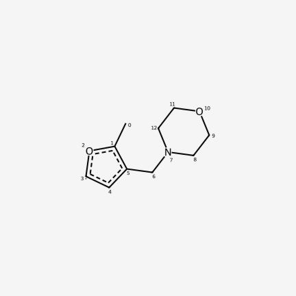 Cc1o[c]cc1CN1CCOCC1